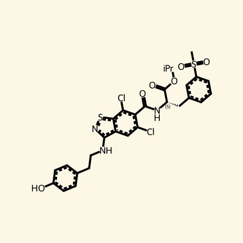 CC(C)OC(=O)[C@H](Cc1cccc(S(C)(=O)=O)c1)NC(=O)c1c(Cl)cc2c(NCCc3ccc(O)cc3)nsc2c1Cl